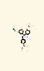 COC(=O)c1ccc(CC(N)(c2cc(F)cc(OC(F)(F)C(F)F)c2)c2ccc(F)c(OC(C)C)c2)cc1